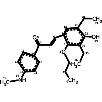 CCCOc1c(/C=C/C(=O)c2ccc(NC)cc2)cc(CC)c(O)c1CC